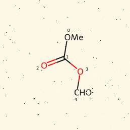 COC(=O)O[C]=O